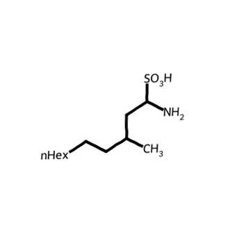 CCCCCCCCC(C)CC(N)S(=O)(=O)O